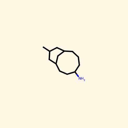 CC1CC2CCCC(N)CCC(C1)C2